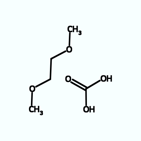 COCCOC.O=C(O)O